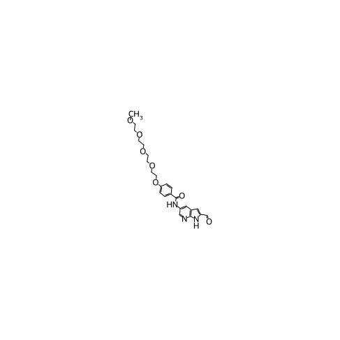 COCCOCCOCCOCCOc1ccc(C(=O)Nc2cnc3[nH]c(C=O)cc3c2)cc1